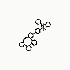 c1ccc(-n2c(-c3ccc(-c4ccc5ccc6ccccc6c6ccccc6c6ccccc6c5c4)cc3)nc3ccccc32)cc1